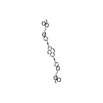 C=CC(=O)OCCCCOc1ccc(C#Cc2cc3ccc4cc(C#Cc5ccc(OCCCCOC(=O)C=C)cc5)cc5ccc(c2)c3c45)cc1